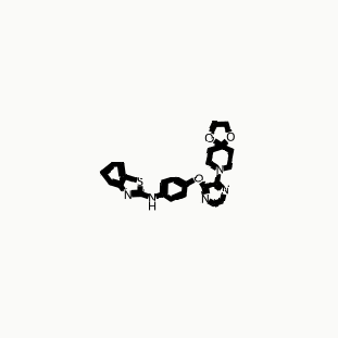 c1ccc2sc(Nc3ccc(Oc4nccnc4N4CCC5(CC4)OCCO5)cc3)nc2c1